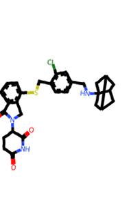 O=C1CCC(N2Cc3c(SCc4ccc(CNC56CC7CC5CC7C6)cc4Cl)cccc3C2=O)C(=O)N1